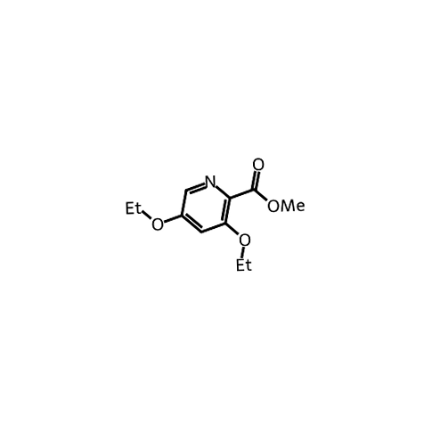 CCOc1cnc(C(=O)OC)c(OCC)c1